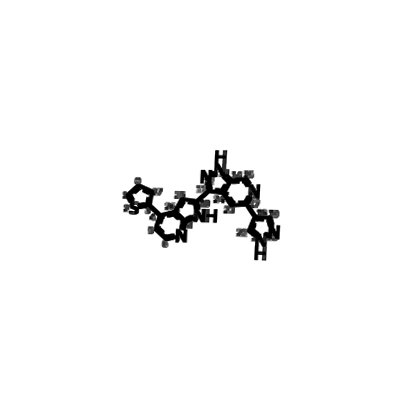 c1csc(-c2ccnc3[nH]c(-c4n[nH]c5cnc(-c6cn[nH]c6)cc45)cc23)c1